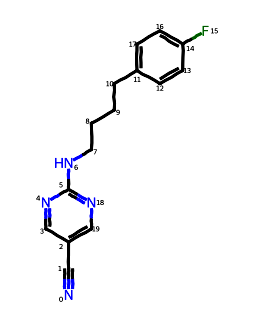 N#Cc1cnc(NCCCCc2ccc(F)cc2)nc1